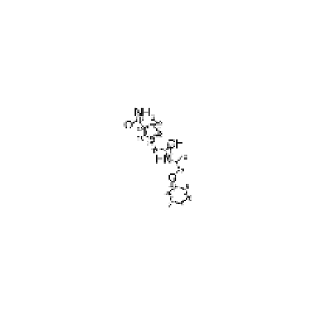 CC(COc1ccccc1)NC(O)Cc1cc(C(N)=O)cs1